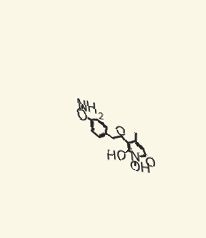 Cc1cc(=O)n(O)c(O)c1C(=O)Cc1ccc(ON)cc1